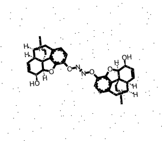 CN1CC[C@@]23c4c5ccc(ON=NOc6ccc7c8c6O[C@H]6[C@@H](O)C=C[C@H]9[C@@H](C7)N(C)CC[C@@]896)c4O[C@H]2[C@@H](O)C=C[C@H]3[C@H]1C5